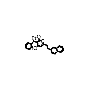 CCC(c1ccccc1)c1c(O)cc(CCc2ccc3ccccc3c2)oc1=O